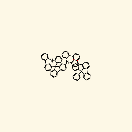 c1ccc(-c2ccccc2N(c2ccc(-c3cccc4c3C(c3ccccc3)(c3ccccc3)c3ccccc3-4)cc2)c2ccc3c(c2)C2(c4ccccc4-3)c3ccccc3-n3c4ccccc4c4cccc2c43)cc1